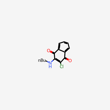 CCCCNC1=C(Cl)C(=O)c2ccccc2C1=O